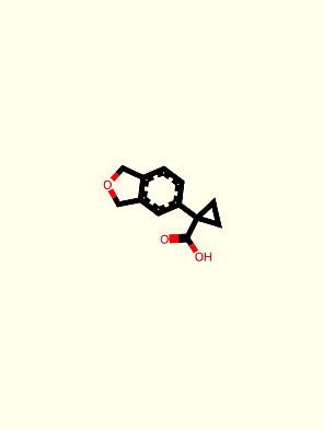 O=C(O)C1(c2ccc3c(c2)COC3)CC1